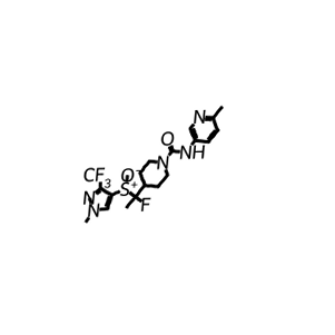 Cc1ccc(NC(=O)N2CCC(C(C)(F)[S+]([O-])c3cn(C)nc3C(F)(F)F)CC2)cn1